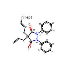 C=CCC1(CC=CCCCCCCC)C(=O)N(c2ccccc2)N(c2ccccc2)C1=O